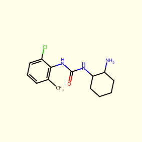 NC1CCCCC1NC(=O)Nc1c(Cl)cccc1C(F)(F)F